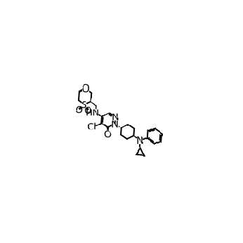 O=c1c(Cl)c(NC[C@@H]2COCCS2(=O)=O)cnn1[C@H]1CC[C@H](N(c2ccccc2)C2CC2)CC1